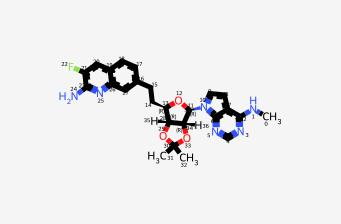 CNc1ncnc2c1ccn2[C@@H]1O[C@H](CCc2ccc3cc(F)c(N)nc3c2)[C@H]2OC(C)(C)O[C@H]21